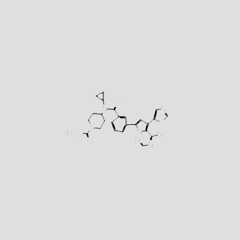 CC(=O)N1CCC(N(C(=O)c2cccc(-c3cc(-c4cncs4)c4c(N)ncnn34)c2)C2CC2)CC1